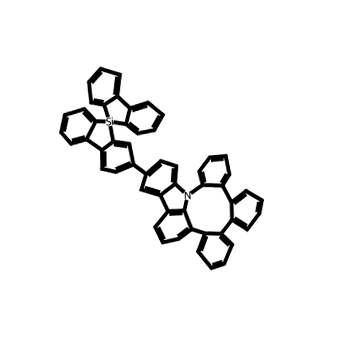 c1ccc2c(c1)-c1ccccc1[Si]21c2ccccc2-c2ccc(-c3ccc4c(c3)c3cccc5c6ccccc6c6ccccc6c6ccccc6n4c53)cc21